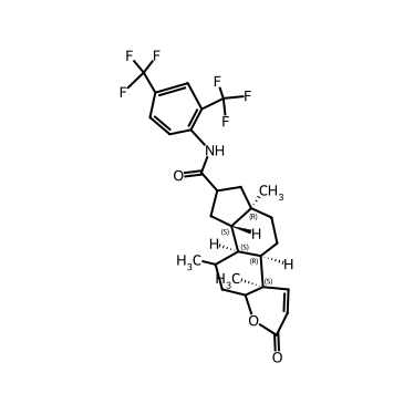 CC1CC2OC(=O)C=C[C@]2(C)[C@@H]2CC[C@]3(C)CC(C(=O)Nc4ccc(C(F)(F)F)cc4C(F)(F)F)C[C@H]3[C@H]12